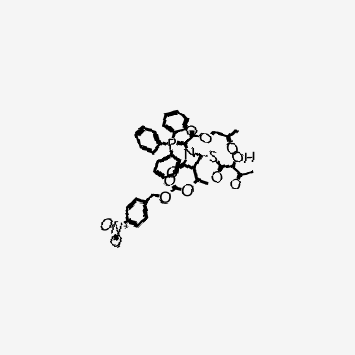 CC(=O)COC(=O)C(N1C(=O)C(C(C)OC(=O)OCc2ccc([N+](=O)[O-])cc2)[C@H]1SC(=O)C(O)C(C)=O)=P(c1ccccc1)(c1ccccc1)c1ccccc1